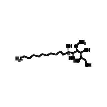 BOC(C(O)C(O)CO)C(O)[C@@H](O)CCCCCCCCCCC